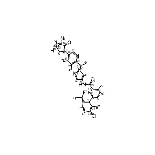 Cc1ncc(-c2c(C(F)F)ccc(Cl)c2F)nc1C(=O)Nc1cnn([C@H](C)c2ncc(N3C[C@H]4C[C@H]4C3=O)c(C)c2C)c1